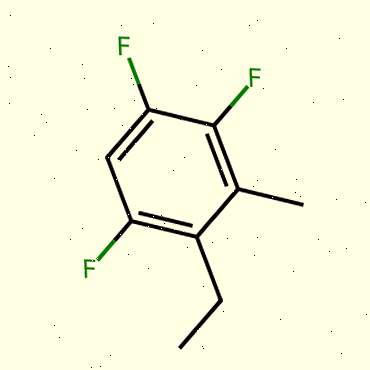 CCc1c(F)cc(F)c(F)c1C